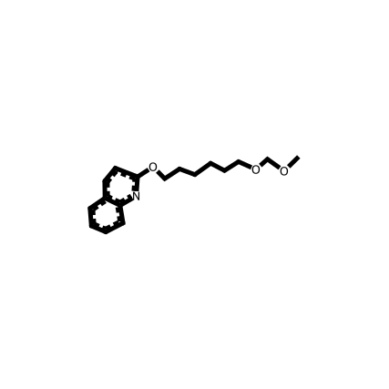 COCOCCCCCCOc1ccc2ccccc2n1